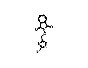 O=C1c2ccccc2C(=O)N1OCc1csc(Br)n1